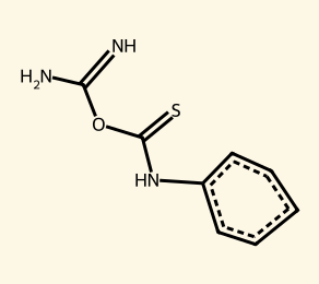 N=C(N)OC(=S)Nc1ccccc1